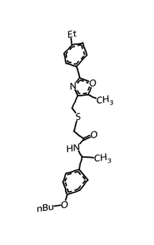 CCCCOc1ccc(C(C)NC(=O)CSCc2nc(-c3ccc(CC)cc3)oc2C)cc1